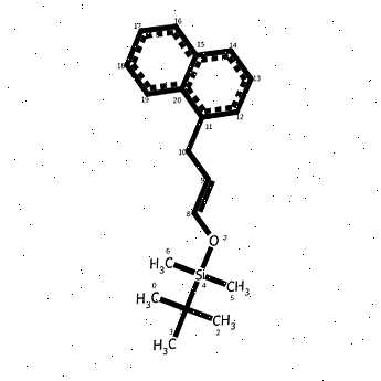 CC(C)(C)[Si](C)(C)OC=CCc1cccc2ccccc12